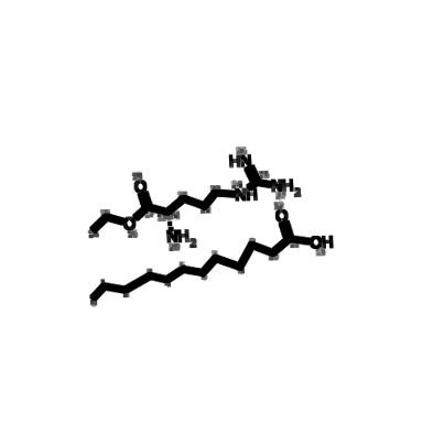 CCCCCCCCCCCC(=O)O.CCOC(=O)[C@@H](N)CCCNC(=N)N